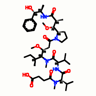 CC[C@H](C)[C@@H]([C@@H](CC(=O)N1CCC[C@H]1[C@H](OC)[C@@H](C)C(=O)N[C@H](C)[C@@H](O)c1ccccc1)OC)N(C)C(=O)[C@@H](NC(=O)[C@H](C(C)C)N(C)C(=O)CCC(=O)O)C(C)C